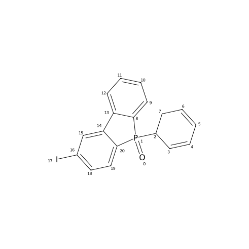 O=P1(C2C=CC=CC2)c2ccccc2-c2cc(I)ccc21